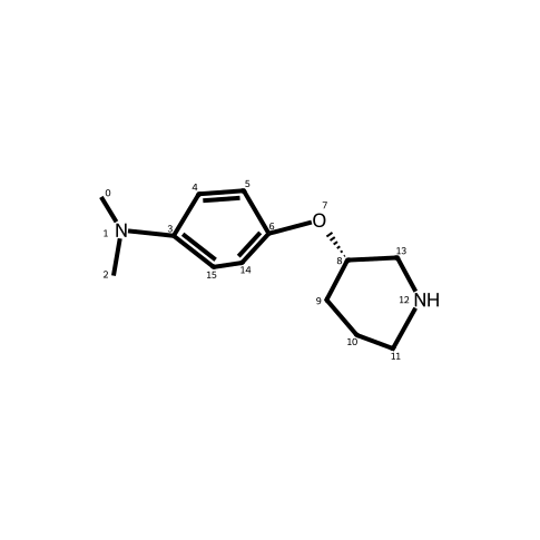 CN(C)c1ccc(O[C@H]2CCCNC2)cc1